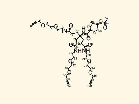 C#CCOCCOCCNC(=O)CCC(CCC(=O)NCCOCCOCC#C)(CCC(=O)NCCOCCOCC#C)NC(=O)[C@H]1CC[C@H](OC(C)=O)CC1